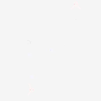 CO/C(C)=C/C=C(Br)\C=C(/C)SC1CCC2(COC2)C1